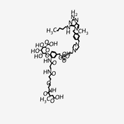 CCCCCNc1nc(N)nc2ccn(Cc3ccc(CN4CCN(CCOP(=O)(O)OCc5ccc(O[C@@H]6O[C@H](C(=O)O)[C@@H](O)[C@H](O)[C@H]6O)c(NC(=O)CCNC(=O)CCOCCNC(=O)C(C)CC(=O)O)c5)CC4)cc3C)c12